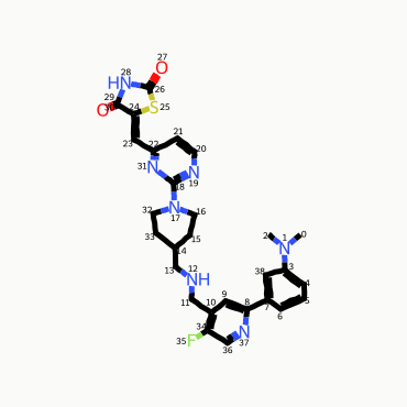 CN(C)c1cccc(-c2cc(CNCC3CCN(c4nccc(/C=C5\SC(=O)NC5=O)n4)CC3)c(F)cn2)c1